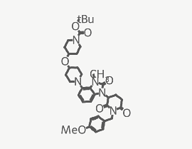 COc1ccc(CN2C(=O)CCC(n3c(=O)n(C)c4c(N5CCC(OC6CCN(C(=O)OC(C)(C)C)CC6)CC5)cccc43)C2=O)cc1